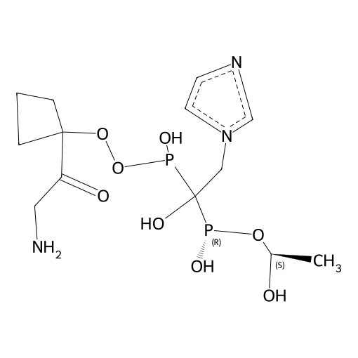 C[C@@H](O)O[P@](O)C(O)(Cn1ccnc1)P(O)OOC1(C(=O)CN)CCC1